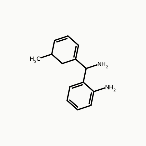 CC1C=CC=C(C(N)c2ccccc2N)C1